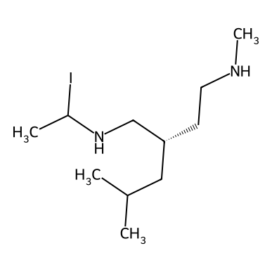 CNCC[C@@H](CNC(C)I)CC(C)C